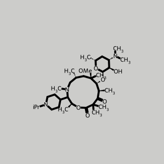 CO[C@]1(C)C[C@@H](C)CN(C)C(C2CCN(C(C)C)CC2)[C@H](C)OC(=O)C(C)(C)C(=O)[C@H](C)[C@H]1O[C@@H]1O[C@H](C)C[C@H](N(C)C)[C@H]1O